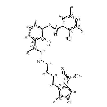 Cc1nc(C)c(Cl)c(NCc2nccc(N(C)CCCSCCn3c([N+](=O)[O-])cnc3C)c2Cl)n1